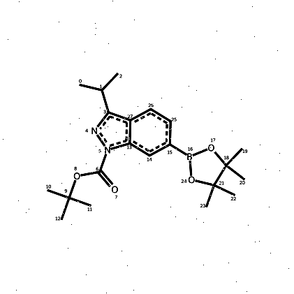 CC(C)c1nn(C(=O)OC(C)(C)C)c2cc(B3OC(C)(C)C(C)(C)O3)ccc12